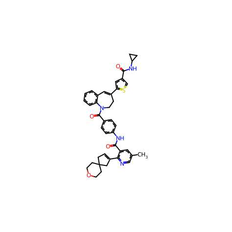 Cc1cnc(C2=CCC3(CCOCC3)C2)c(C(=O)Nc2ccc(C(=O)N3CCC(c4cc(C(=O)NC5CC5)cs4)=Cc4ccccc43)cc2)c1